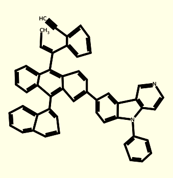 C#Cc1ccccc1/C(=C\C)c1c2ccccc2c(-c2cccc3ccccc23)c2cc(-c3ccc4c(c3)c3cnccc3n4-c3ccccc3)ccc12